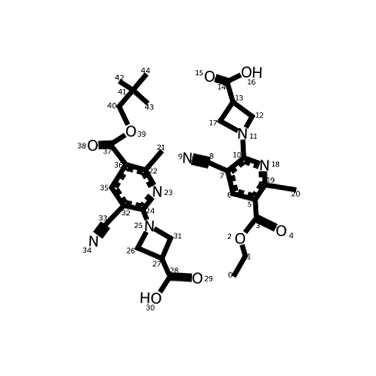 CCOC(=O)c1cc(C#N)c(N2CC(C(=O)O)C2)nc1C.Cc1nc(N2CC(C(=O)O)C2)c(C#N)cc1C(=O)OCC(C)(C)C